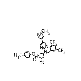 CC[C@@H]1C[C@H](N(Cc2cc(C(F)(F)F)cc(C(F)(F)F)c2)c2ncc(-c3cnn(C)c3)cn2)CN1C(=O)Oc1ccc(C)cc1